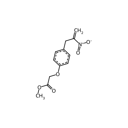 C=C(Cc1ccc(OCC(=O)OC)cc1)[N+](=O)[O-]